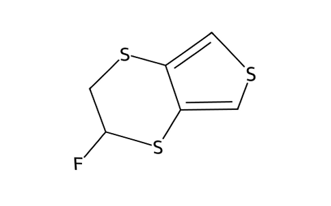 FC1CSc2cscc2S1